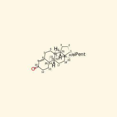 CCC[C@@H](C)[C@H]1CC[C@H]2[C@@H]3CCC4=CC(=O)CC[C@]4(C)[C@H]3CC[C@]12C